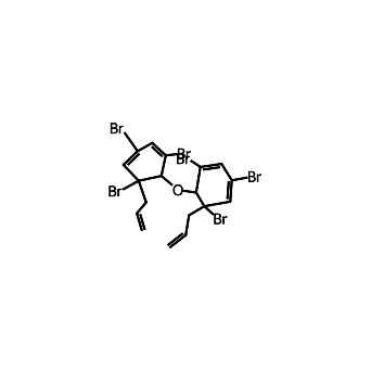 C=CCC1(Br)C=C(Br)C=C(Br)C1OC1C(Br)=CC(Br)=CC1(Br)CC=C